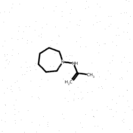 C=C(C)NN1CCCCCC1